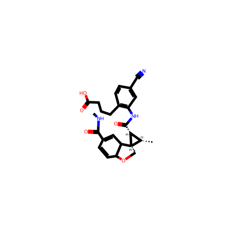 CNC(=O)C1=CC2C(C=C1)OC[C@@]21[C@H](C(=O)Nc2cc(C#N)ccc2CCCC(=O)O)[C@@H]1C